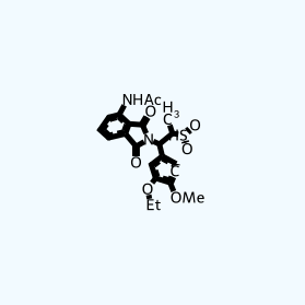 CCOc1cc(C(C(C)[SH](=O)=O)N2C(=O)c3cccc(NC(C)=O)c3C2=O)ccc1OC